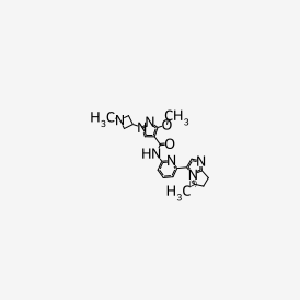 COc1nn(C2CN(C)C2)cc1C(=O)Nc1cccc(-c2cnc3n2[C@@H](C)CC3)n1